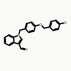 O=Cc1cn(Cc2ccc(OCc3ccc(Cl)cc3)cc2)c2ccccc12